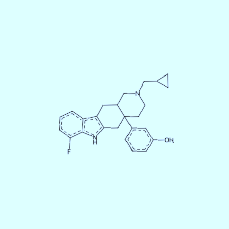 Oc1cccc(C23CCN(CC4CC4)CC2Cc2c([nH]c4c(F)cccc24)C3)c1